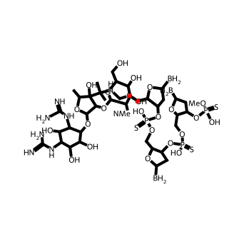 BC1CC(OP(O)(=S)OC)C(COP(O)(=S)OC2CC(B)OC2COP(O)(=S)OC2CC(B)OC2COCNC(C)(C)C2(O)C(C)OC(OC3C(O)C(O)C(NC(=N)N)C(O)C3NC(=N)N)C2OC2OC(CO)C(O)C(O)C2NC)O1